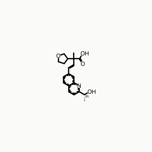 C[C@@H](O)c1ccc2ccc(C=CC(C)(C(=O)O)C3CCOC3)cc2n1